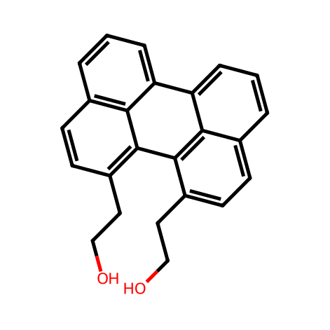 OCCc1ccc2cccc3c4cccc5ccc(CCO)c(c1c23)c54